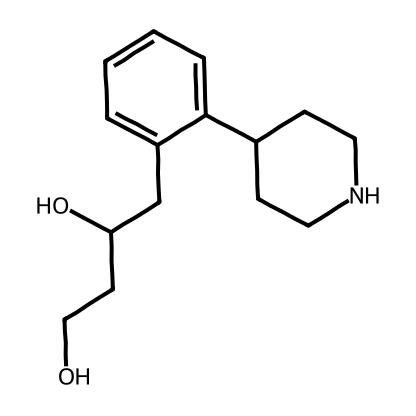 OCCC(O)Cc1ccccc1C1CCNCC1